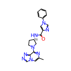 Cc1cn2cnnc2c(N2CC[C@H](NC(=O)c3cn(-c4ccccc4)cn3)C2)n1